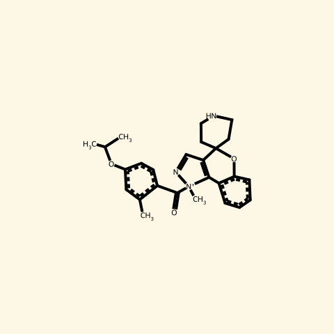 Cc1cc(OC(C)C)ccc1C(=O)[N+]1(C)N=CC2=C1c1ccccc1OC21CCNCC1